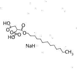 CCCCCCCCCCCCCOC(=O)C(CC(=O)O)S(=O)(=O)O.[NaH]